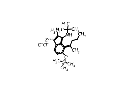 CCCC(C)=c1c(O[Si](C)(C)C)ccc2c1=C(NC(C)(C)C)C(C)=[C]2[Zr+2].[Cl-].[Cl-]